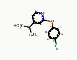 CC(C(=O)O)c1ccnc(Sc2ccc(Cl)cc2)c1